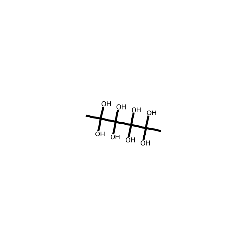 CC(O)(O)C(O)(O)C(O)(O)C(C)(O)O